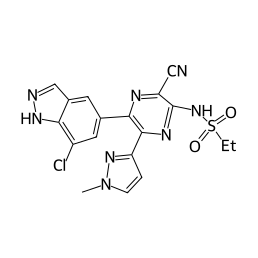 CCS(=O)(=O)Nc1nc(-c2ccn(C)n2)c(-c2cc(Cl)c3[nH]ncc3c2)nc1C#N